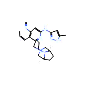 C=Nc1cc(Nc2cc(C)[nH]n2)nc(CN2C[C@H]3CC[C@@H](C2)N3CCC#N)c1/C=C\C